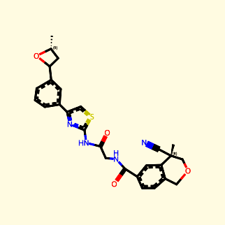 C[C@@H]1CC(c2cccc(-c3csc(NC(=O)CNC(=O)c4ccc5c(c4)[C@](C)(C#N)COC5)n3)c2)O1